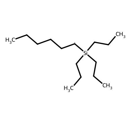 CCCCC[CH][Si](CCC)(CCC)CCC